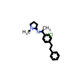 CC(/N=C1\CCCN1C)c1ccc(CCc2ccccc2)cc1.Cl